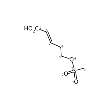 CS(=O)(=O)OCCC=CC(=O)O